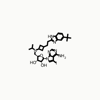 CC(C)N(C[C@H]1O[C@@H](n2cc(I)c3c(N)ncnc32)[C@H](O)[C@@H]1O)C1CC(CCc2nc3cc(C(C)(C)C)ccc3[nH]2)C1